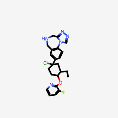 CCC1CC(Cl)(c2ccc3c(c2)CNCc2nncn2-3)CCC1Oc1ncccc1F